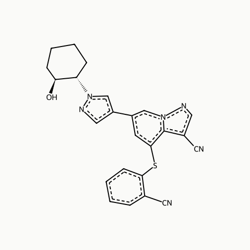 N#Cc1ccccc1Sc1cc(-c2cnn([C@H]3CCCC[C@@H]3O)c2)cn2ncc(C#N)c12